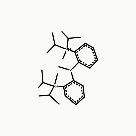 CC(C)[PH](C)(c1ccccc1P(C)c1ccccc1[PH](C)(C(C)C)C(C)C)C(C)C